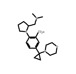 CN(C)CC1CCCN1c1ccc(C2(N3CCOCC3)CC2)cc1C(=O)O